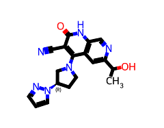 CC(O)c1cc2c(N3CC[C@@H](n4cccn4)C3)c(C#N)c(=O)[nH]c2cn1